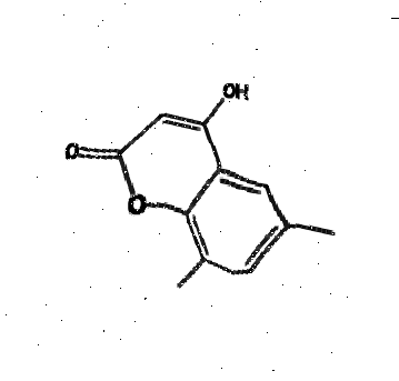 Cc1cc(C)c2oc(=O)cc(O)c2c1